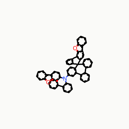 c1ccc(-c2ccccc2N(c2ccc3c(c2)-c2ccccc2-c2ccccc2C32c3ccccc3-c3c2ccc2c3oc3ccccc32)c2ccc3c(c2)oc2ccccc23)cc1